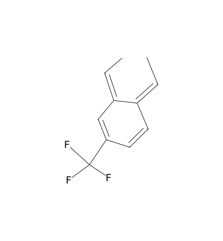 C/C=c1/ccc(C(F)(F)F)c/c1=C/C